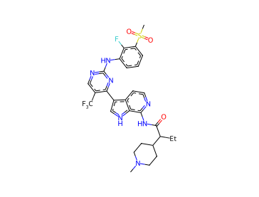 CCC(C(=O)Nc1nccc2c(-c3nc(Nc4cccc(S(C)(=O)=O)c4F)ncc3C(F)(F)F)c[nH]c12)C1CCN(C)CC1